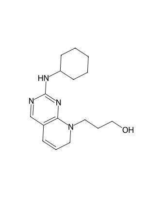 OCCCN1CC=Cc2cnc(NC3CCCCC3)nc21